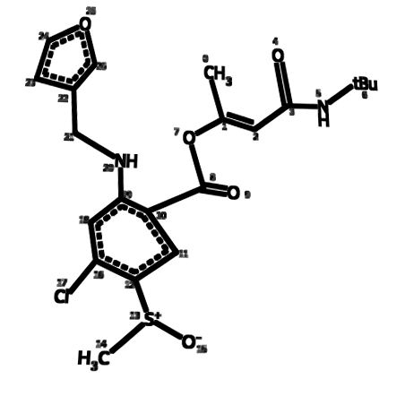 CC(=CC(=O)NC(C)(C)C)OC(=O)c1cc([S+](C)[O-])c(Cl)cc1NCc1ccoc1